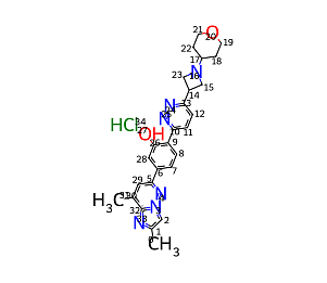 Cc1cn2nc(-c3ccc(-c4ccc(C5CN(C6CCOCC6)C5)nn4)c(O)c3)cc(C)c2n1.Cl